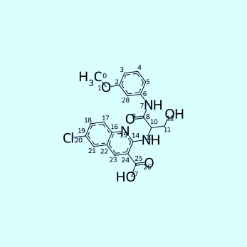 COc1cccc(NC(=O)C(CO)Nc2nc3ccc(Cl)cc3cc2C(=O)O)c1